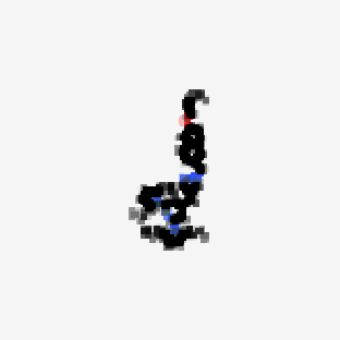 C=CCOc1ccc2cc(Cn3cc(Cc4cc(-n5c(C)ccc5C)nc(-n5c(C)ccc5C)c4)cn3)ccc2c1